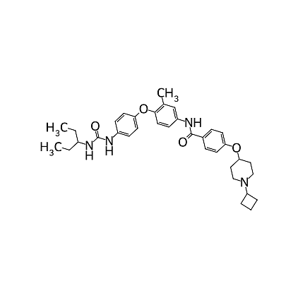 CCC(CC)NC(=O)Nc1ccc(Oc2ccc(NC(=O)c3ccc(OC4CCN(C5CCC5)CC4)cc3)cc2C)cc1